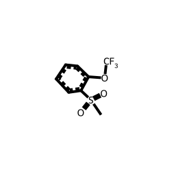 CS(=O)(=O)c1ccccc1OC(F)(F)F